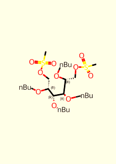 CCCCO[C@@H]([C@H](OCCCC)[C@@H](COS(C)(=O)=O)OCCCC)[C@@H](COS(C)(=O)=O)OCCCC